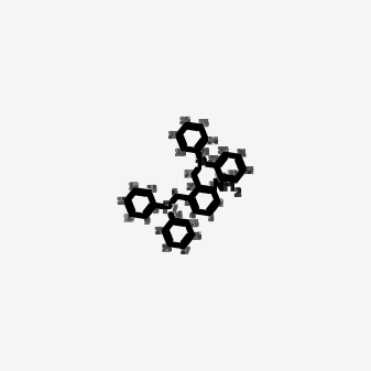 Nc1cccc(CP(c2ccccc2)c2ccccc2)c1CP(c1ccccc1)c1ccccc1